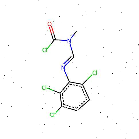 CN(C=Nc1c(Cl)ccc(Cl)c1Cl)C(=O)Cl